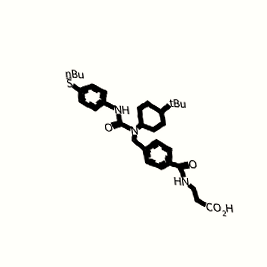 CCCCSc1ccc(NC(=O)N(Cc2ccc(C(=O)NCCC(=O)O)cc2)C2CCC(C(C)(C)C)CC2)cc1